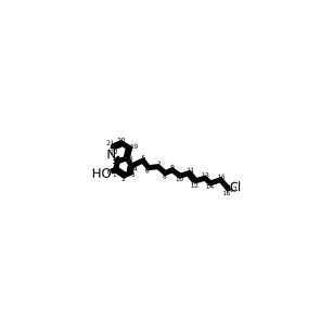 Oc1ccc(CCCCCCC=CCCCCCl)c2cccnc12